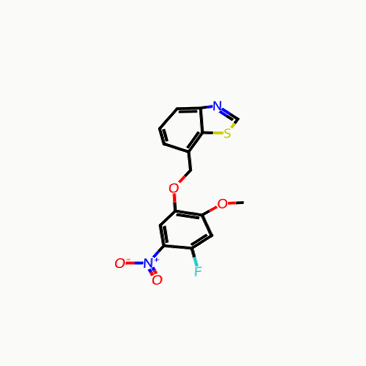 COc1cc(F)c([N+](=O)[O-])cc1OCc1cccc2ncsc12